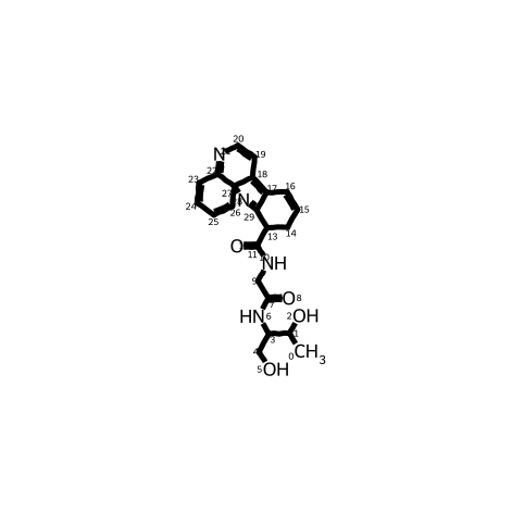 CC(O)C(CO)NC(=O)CNC(=O)C1CC=CC2=C3C=CN=C4C=CC=CC43N=C21